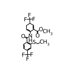 CCSc1cc(C(F)(F)F)ccc1C(=O)NC1=CCC(C(F)(F)F)C=C1C(=O)OC